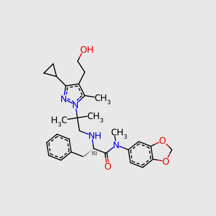 Cc1c(CCO)c(C2CC2)nn1C(C)(C)CN[C@@H](Cc1ccccc1)C(=O)N(C)c1ccc2c(c1)OCO2